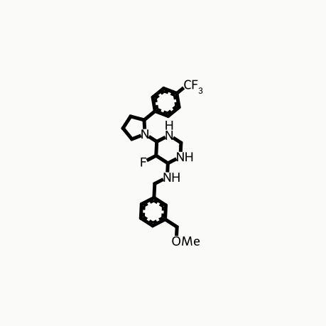 COCc1cccc(CNC2NCNC(N3CCCC3c3ccc(C(F)(F)F)cc3)C2F)c1